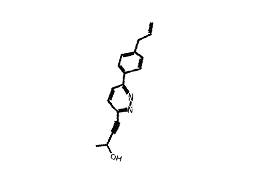 C=CCc1ccc(-c2ccc(C#CC(C)O)nn2)cc1